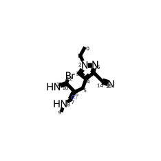 CCn1cc(C/C(=C/NC)C(=N)Br)c(C#N)n1